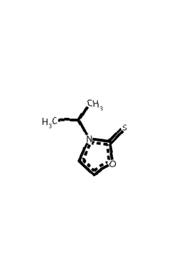 CC(C)n1ccoc1=S